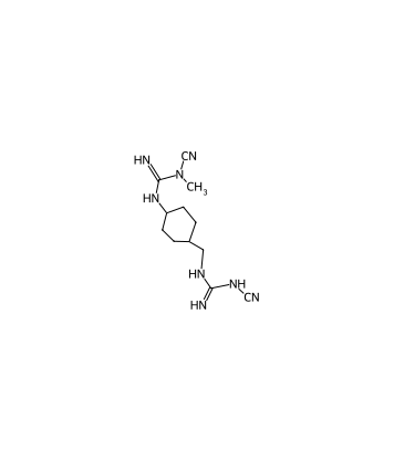 CN(C#N)C(=N)NC1CCC(CNC(=N)NC#N)CC1